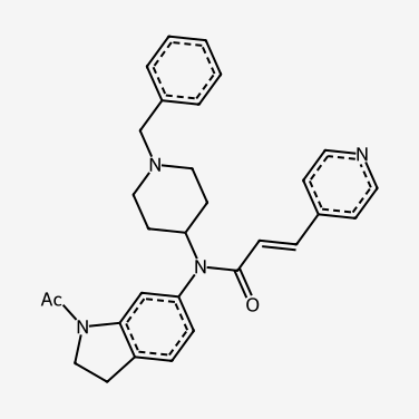 CC(=O)N1CCc2ccc(N(C(=O)C=Cc3ccncc3)C3CCN(Cc4ccccc4)CC3)cc21